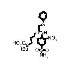 CC(C)(C)N(CCCC[C@H](CSc1ccccc1)Nc1ccc(S(N)(=O)=O)cc1[N+](=O)[O-])C(=O)O